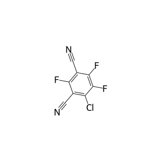 N#Cc1c(F)c(F)c(Cl)c(C#N)c1F